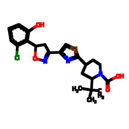 CC(C)(C)C1CC(c2nc(C3=NOC(c4c(O)cccc4Cl)C3)cs2)CCN1C(=O)O